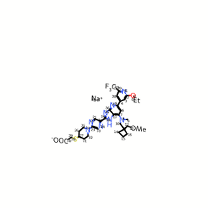 CCOc1cc(-c2cc(N(C)CC3(COC)CCC3)c3[nH]c(-c4cnc(N5CCC(SCC(=O)[O-])CC5)cn4)nc3n2)cc(C(F)(F)F)n1.[Na+]